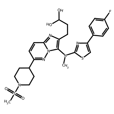 CN(c1nc(-c2ccc(F)cc2)cs1)c1c(CCC(O)O)nc2ccc(C3CCN(S(C)(=O)=O)CC3)nn12